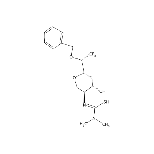 CN(C)/C(S)=N/[C@H]1CO[C@H]([C@H](OCc2ccccc2)C(F)(F)F)C[C@@H]1O